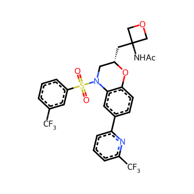 CC(=O)NC1(C[C@H]2CN(S(=O)(=O)c3cccc(C(F)(F)F)c3)c3cc(-c4cccc(C(F)(F)F)n4)ccc3O2)COC1